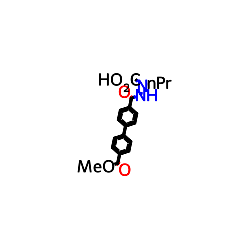 CCCN(NC(=O)c1ccc(-c2ccc(C(=O)OC)cc2)cc1)C(=O)O